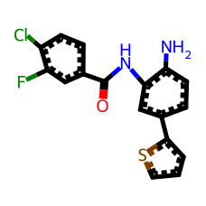 Nc1ccc(-c2cccs2)cc1NC(=O)c1ccc(Cl)c(F)c1